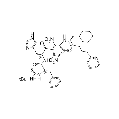 CC(C)(C)NC(=S)N[C@@H](Cc1ccccc1)C(=O)N[C@@H](Cc1c[nH]cn1)C(=O)c1c([N+](=O)[O-])ccc(N[C@@H](CC2CCCCC2)[C@@H](O)CCCc2ccccn2)c1[N+](=O)[O-]